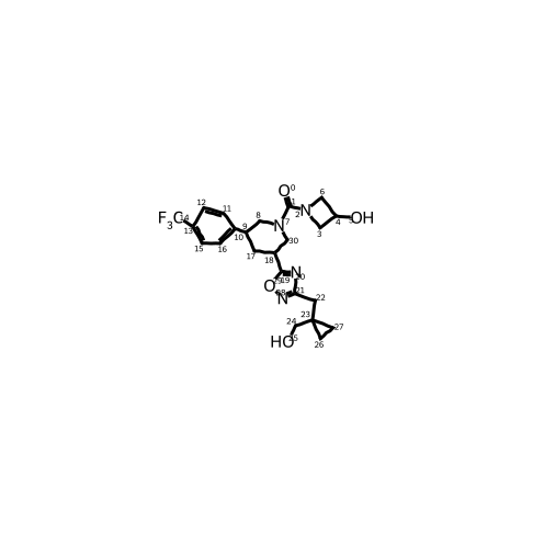 O=C(N1CC(O)C1)N1CC(c2ccc(C(F)(F)F)cc2)CC(c2nc(CC3(CO)CC3)no2)C1